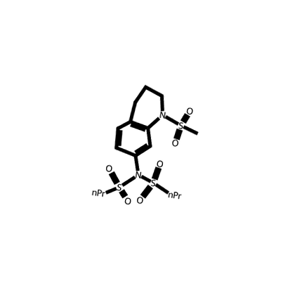 CCCS(=O)(=O)N(c1ccc2c(c1)N(S(C)(=O)=O)CCC2)S(=O)(=O)CCC